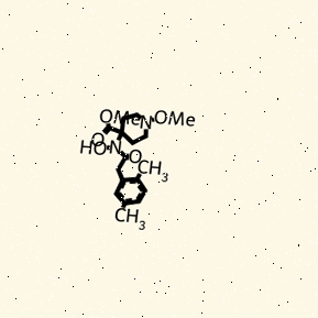 COC(=O)C1(N(O)C(=O)Cc2cc(C)ccc2C)CCN(OC)CC1